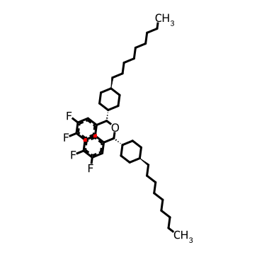 CCCCCCCCC[C@H]1CC[C@H](C(OC(c2ccc(F)c(F)c2)[C@H]2CC[C@H](CCCCCCCCC)CC2)c2ccc(F)c(F)c2)CC1